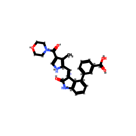 Cc1c(C(=O)N2CCOCC2)c[nH]c1/C=C1\C(=O)Nc2cccc(-c3cccc(C(=O)O)c3)c21